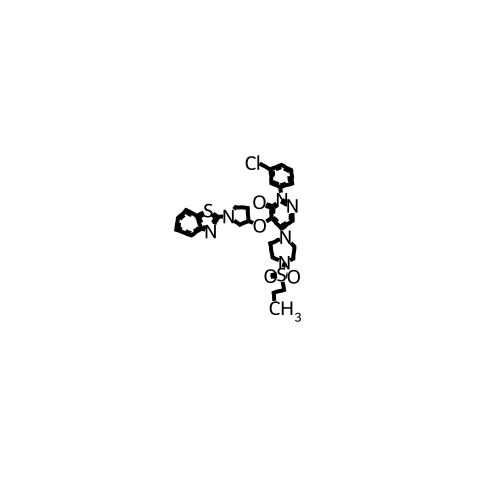 CCCS(=O)(=O)N1CCN(c2cnn(-c3cccc(Cl)c3)c(=O)c2OC2CCN(c3nc4ccccc4s3)C2)CC1